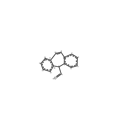 O=[C]C1c2ccccc2C=Cc2ccccc21